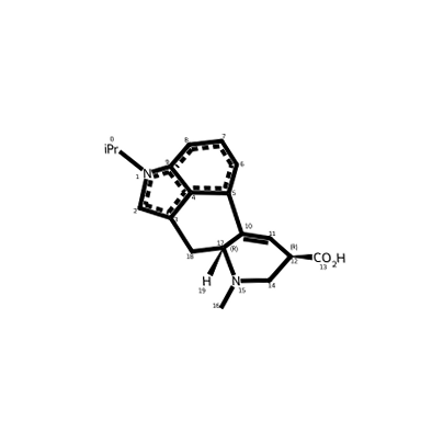 CC(C)n1cc2c3c(cccc31)C1=C[C@@H](C(=O)O)CN(C)[C@@H]1C2